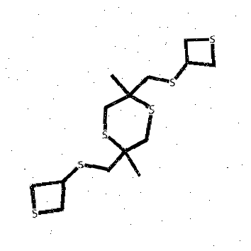 CC1(CSC2CSC2)CSC(C)(CSC2CSC2)CS1